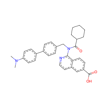 CN(C)c1ccc(-c2ccc(CN(C(=O)C3CCCCC3)c3nccc4cc(C(=O)O)ccc34)cc2)cc1